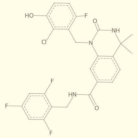 CC1(C)NC(=O)N(Cc2c(F)ccc(O)c2Cl)c2cc(C(=O)NCc3c(F)cc(F)cc3F)ccc21